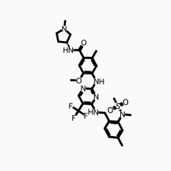 COc1cc(C(=O)N[C@H]2CCN(C)C2)c(C)cc1Nc1ncc(C(F)(F)F)c(NCc2ccc(C)cc2N(C)S(C)(=O)=O)n1